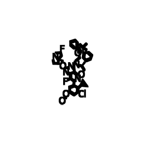 COCOc1cc(Cl)c(C2CC2)c(-c2nc3c4c(nc(OC[C@@]56CCCN5C[C@H](F)C6)nc4c2F)N(CCO[Si](c2ccccc2)(c2ccccc2)C(C)(C)C)[C@@H](C)CO3)c1